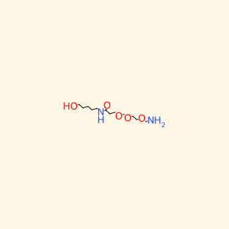 NCOCCOCOCCC(=O)NCCCCCO